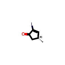 C[C@H]1C=C(I)C(=O)C1